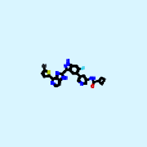 CC(=O)c1ccc(-c2nccc3[nH]c(-c4n[nH]c5cc(F)c(-c6cncc(NC(=O)C7CCC7)c6)cc45)nc23)s1